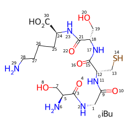 CC[C@H](C)[C@H](NC(=O)[C@@H](N)CO)C(=O)N[C@@H](CS)C(=O)N[C@@H](CO)C(=O)N[C@@H](CCCCN)C(=O)O